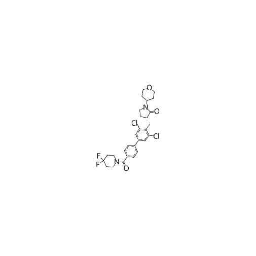 O=C(c1ccc(-c2cc(Cl)c(C[C@@H]3CCN(C4CCOCC4)C3=O)c(Cl)c2)cc1)N1CCC(F)(F)CC1